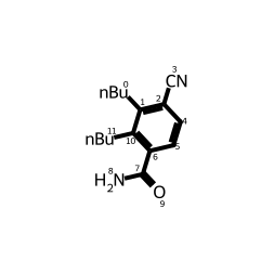 CCCCc1c(C#N)ccc(C(N)=O)c1CCCC